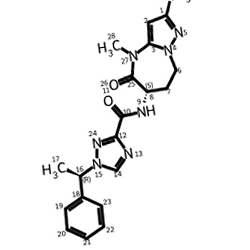 Cc1cc2n(n1)CC[C@H](NC(=O)c1ncn([C@H](C)c3ccccc3)n1)C(=O)N2C